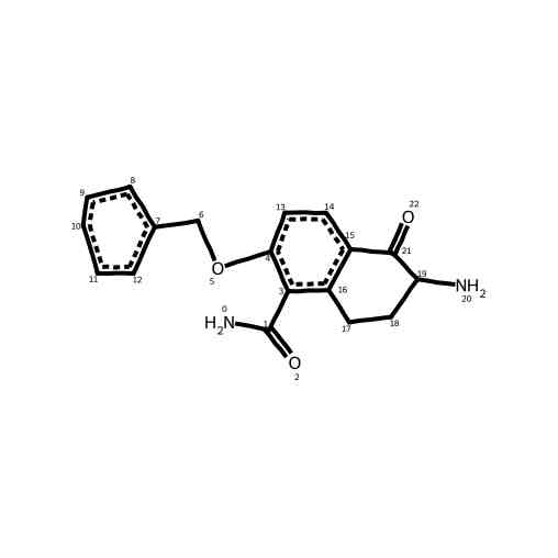 NC(=O)c1c(OCc2ccccc2)ccc2c1CCC(N)C2=O